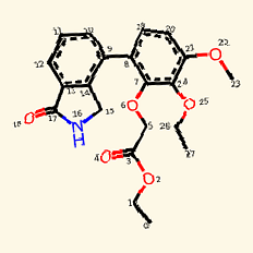 CCOC(=O)COc1c(-c2cccc3c2CNC3=O)ccc(OC)c1OCC